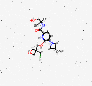 CCC(CC)(CO)NC(=O)c1ccc(N2CC(OC)C2)c(OCC2(CF)COC2)n1